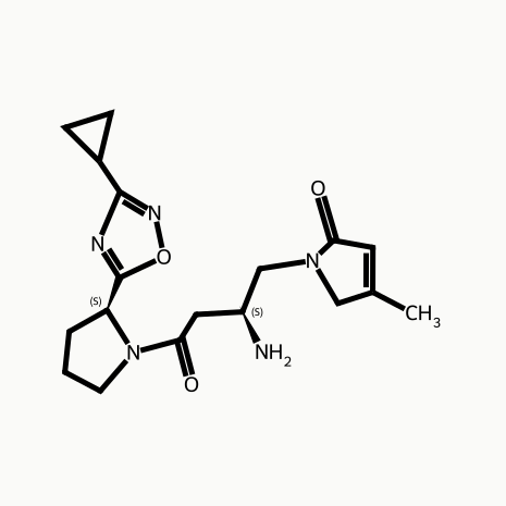 CC1=CC(=O)N(C[C@@H](N)CC(=O)N2CCC[C@H]2c2nc(C3CC3)no2)C1